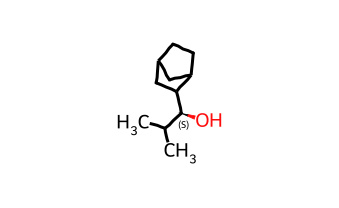 CC(C)[C@H](O)C1CC2CCC1C2